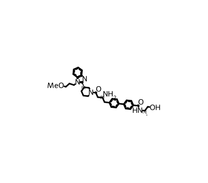 COCCCn1c([C@@H]2CCCN(C(=O)C[C@H](N)Cc3ccc(-c4ccc(C(=O)N[C@@H](C)CO)cc4)cc3)C2)nc2ccccc21